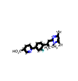 C=C(/C=C1/N=C(C(C)=O)C=C(CC)N1C)c1ccc(-c2ccc(C(=O)O)cn2)cc1F